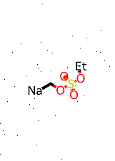 CCOS(=O)(=O)O[CH2][Na]